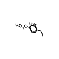 Br.O=C(O)c1ccc(CI)cc1